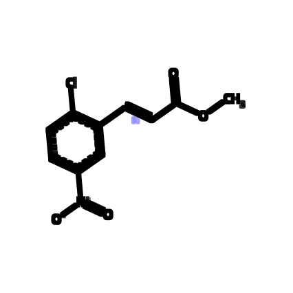 COC(=O)/C=C/c1cc([N+](=O)[O-])ccc1Cl